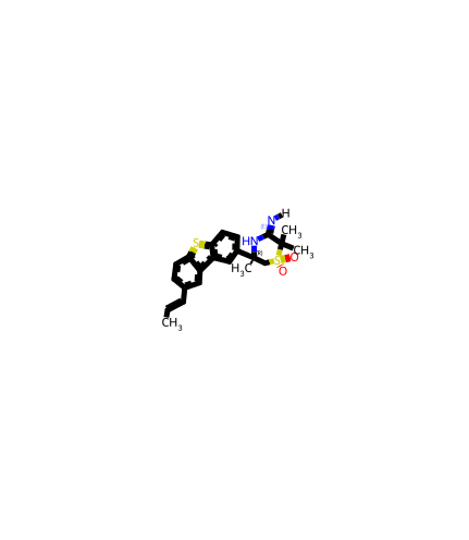 [H]/N=C1/N[C@](C)(c2ccc3sc4ccc(C=CC)cc4c3c2)CS(=O)(=O)C1(C)C